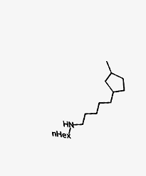 CCCCCCNCCCCCC1CCC(C)C1